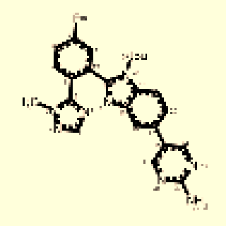 Cn1ncnc1-c1ccc(F)cc1-c1nc2cc(-c3cnc(N)nc3)ccc2n1C(C)(C)C